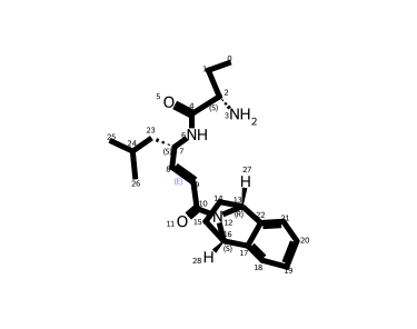 CC[C@H](N)C(=O)N[C@H](/C=C/C(=O)N1[C@@H]2CC[C@H]1c1ccccc12)CC(C)C